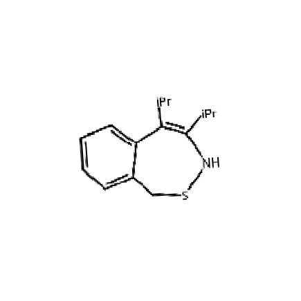 CC(C)C1=C(C(C)C)c2ccccc2CSN1